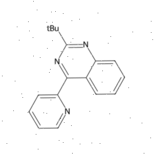 CC(C)(C)c1nc(-c2ccccn2)c2ccccc2n1